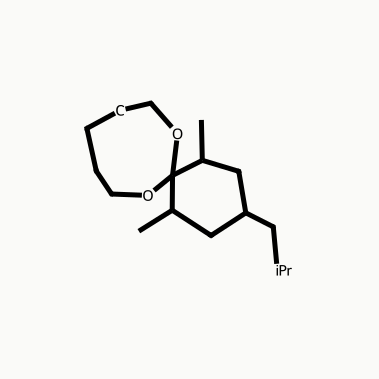 CC(C)CC1CC(C)C2(OCCCCCO2)C(C)C1